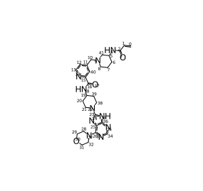 C=CC(=O)NC1CCCN(Cc2ccnc(C(=O)NC3CCN(c4nc5c(N6CCOCC6)ncnc5[nH]4)CC3)c2)C1